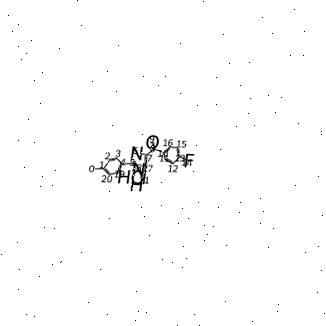 Cc1ccc(-c2nc(C(=O)c3ccc(F)cc3)c[nH]2)cc1.Cl